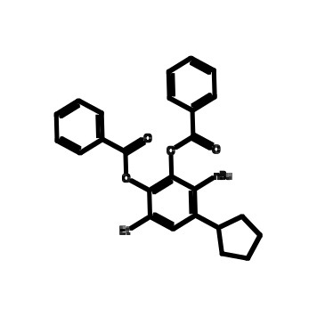 CCCCc1c(C2CCCC2)cc(CC)c(OC(=O)c2ccccc2)c1OC(=O)c1ccccc1